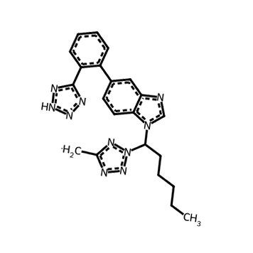 [CH2]c1nnn(C(CCCCC)n2cnc3cc(-c4ccccc4-c4nn[nH]n4)ccc32)n1